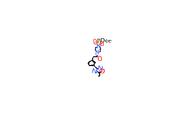 CCCCCCCCCCS(=O)(=O)N1CCN(C(=O)Cc2cccc(-c3noc(C)n3)c2)CC1